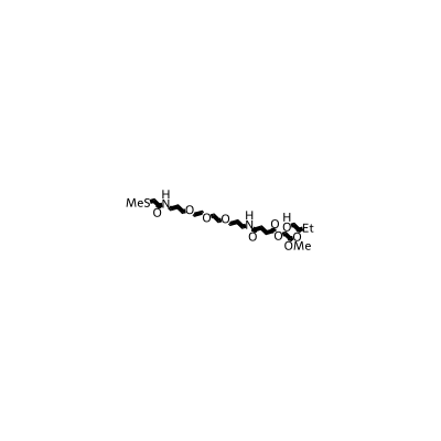 CCC(CO)OC(COC(=O)CCC(=O)NCCCOCCOCCOCCCNC(=O)CSC)OC